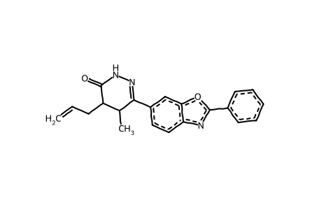 C=CCC1C(=O)NN=C(c2ccc3nc(-c4ccccc4)oc3c2)C1C